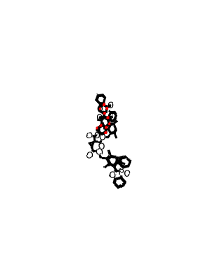 Cc1cc(C)c(C(=O)P(=O)(c2ccccc2)c2ccccc2)c(C)c1COC(=O)C1CC1(C(=O)OCc1c(C)cc(C)c(C(=O)P(=O)(c2ccccc2)c2ccccc2)c1C)C(=O)OCc1c(C)cc(C)c(C(=O)P(=O)(c2ccccc2)c2ccccc2)c1C